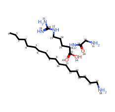 CCCCCCCCCCCCCCCCCCN.N=C(N)NCCCC(NC(=O)CN)C(=O)O